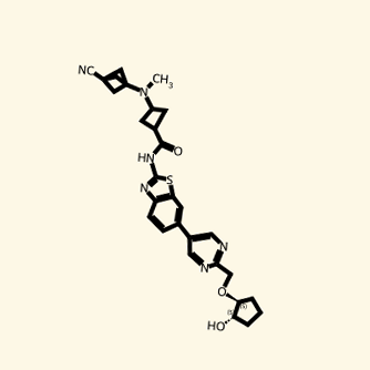 CN(C1CC(C(=O)Nc2nc3ccc(-c4cnc(CO[C@H]5CCC[C@@H]5O)nc4)cc3s2)C1)C12CC(C#N)(C1)C2